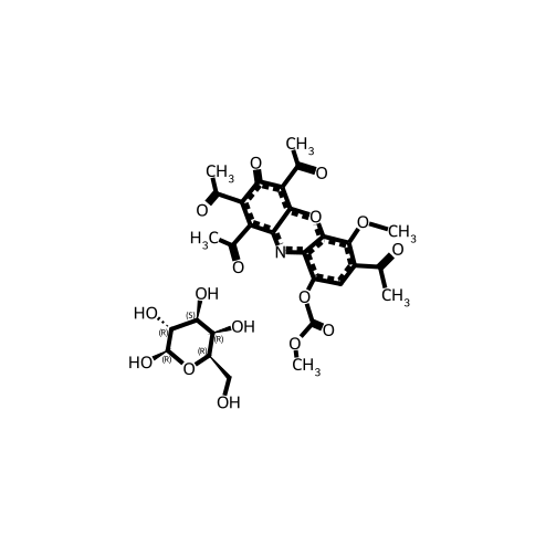 COC(=O)Oc1cc(C(C)=O)c(OC)c2oc3c(C(C)=O)c(=O)c(C(C)=O)c(C(C)=O)c-3nc12.OC[C@H]1O[C@@H](O)[C@H](O)[C@@H](O)[C@H]1O